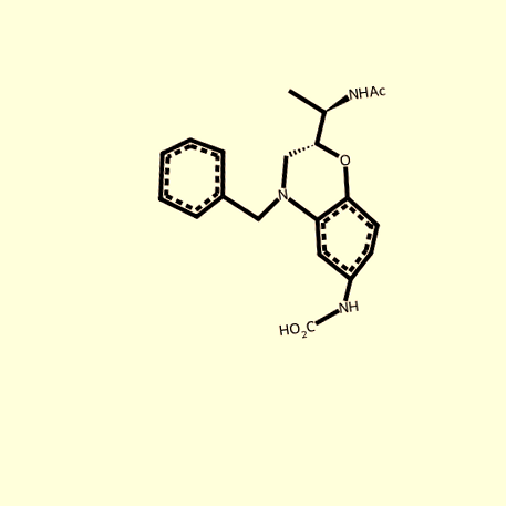 CC(=O)N[C@H](C)[C@H]1CN(Cc2ccccc2)c2cc(NC(=O)O)ccc2O1